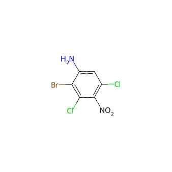 Nc1cc(Cl)c([N+](=O)[O-])c(Cl)c1Br